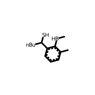 CBc1c(C)cccc1C(S)CCCC